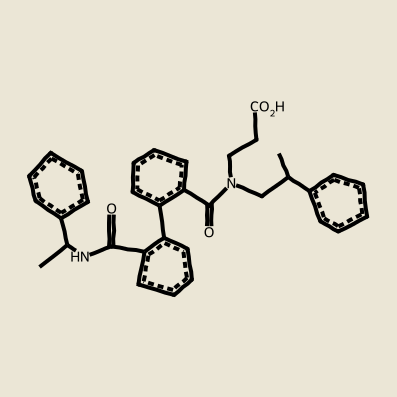 CC(CN(CCC(=O)O)C(=O)c1ccccc1-c1ccccc1C(=O)NC(C)c1ccccc1)c1ccccc1